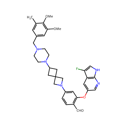 COc1cc(CN2CCN(C3CC4(C3)CN(c3ccc(C=O)c(Oc5cnc6[nH]cc(F)c6c5)c3)C4)CC2)cc(C)c1OC